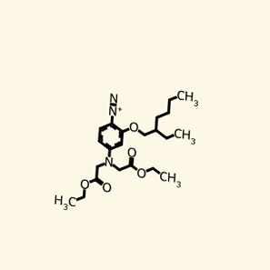 CCCCC(CC)COc1cc(N(CC(=O)OCC)CC(=O)OCC)ccc1[N+]#N